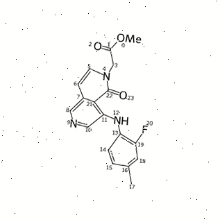 COC(=O)Cn1ccc2cncc(Nc3ccc(C)cc3F)c2c1=O